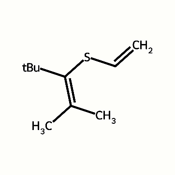 C=CSC(=C(C)C)C(C)(C)C